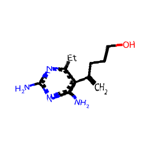 C=C(CCCO)c1c(N)nc(N)nc1CC